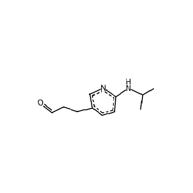 CC(C)Nc1ccc(CCC=O)cn1